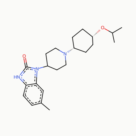 Cc1ccc2[nH]c(=O)n(C3CCN([C@H]4CC[C@@H](OC(C)C)CC4)CC3)c2c1